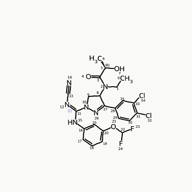 CCN(C(=O)[C@@H](C)O)C1CN(/C(=N\C#N)Nc2cccc(OC(F)F)c2)N=C1c1ccc(Cl)c(Cl)c1